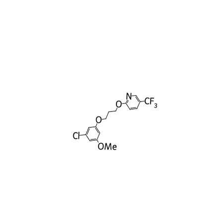 COc1cc(Cl)cc(OCCCOc2ccc(C(F)(F)F)cn2)c1